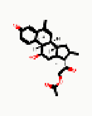 CC(=O)OCC(=O)[C@H]1C(C)C[C@H]2[C@@H]3C=C(C)C4=CC(=O)C=C[C@]4(C)[C@H]3C(O)C[C@]12C